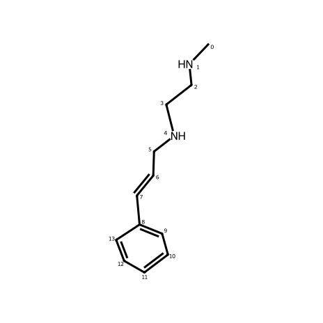 CNCCNCC=Cc1ccccc1